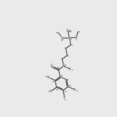 CO[Si](O)(CCCCN(F)C(=O)c1cc(F)c(F)c(F)c1F)OC